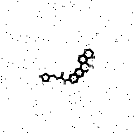 Cc1c(-c2cc3cc(NC(=O)OCC4CCNC4)ncc3cc2F)cnc2c1NCCO2